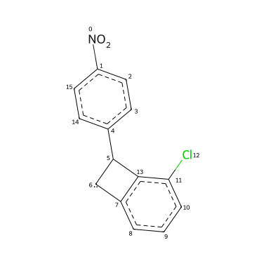 O=[N+]([O-])c1ccc(C2[C]c3cccc(Cl)c32)cc1